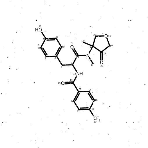 CN(C(=O)C(Cc1ccc(O)cc1)NC(=O)c1ccc(C(F)(F)F)cc1)C1(C)COCC1=O